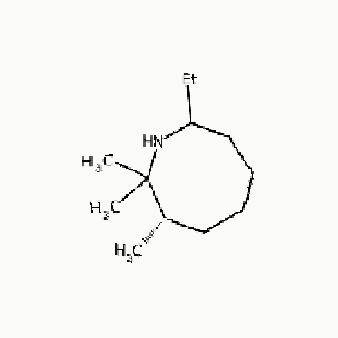 CCC1CCCC[C@H](C)C(C)(C)N1